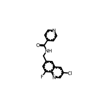 O=C(NCc1cc(F)c2ncc(Cl)cc2c1)c1ccncc1